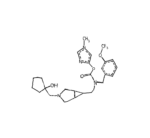 Cn1cnc(OC(=O)N(Cc2cccc(OC(F)(F)F)c2)CC2C3CN(CC4(O)CCCC4)CC32)c1